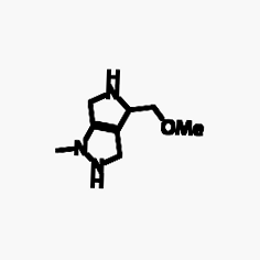 COCC1NCC2=C1CNN2C